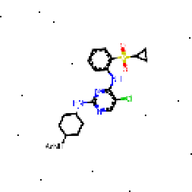 CC(=O)N[C@H]1CC[C@H](Nc2ncc(Cl)c(Nc3ccccc3S(=O)(=O)C3CC3)n2)CC1